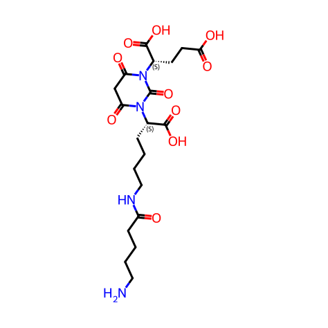 NCCCCC(=O)NCCCC[C@@H](C(=O)O)N1C(=O)CC(=O)N([C@@H](CCC(=O)O)C(=O)O)C1=O